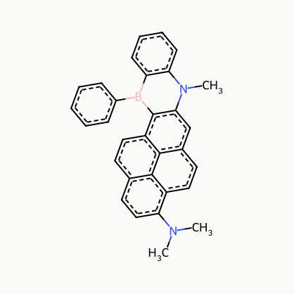 CN(C)c1ccc2ccc3c4c(cc5ccc1c2c53)N(C)c1ccccc1B4c1ccccc1